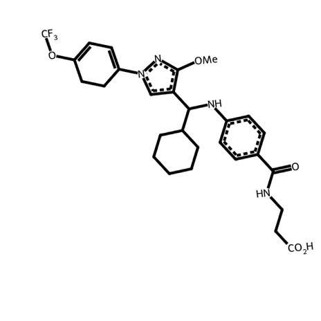 COc1nn(C2=CC=C(OC(F)(F)F)CC2)cc1C(Nc1ccc(C(=O)NCCC(=O)O)cc1)C1CCCCC1